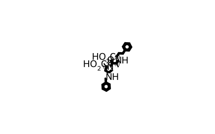 C[C@H](N[C@@H](CCc1ccccc1)C(=O)O)C(=O)N1CC(NCc2ccccc2)C[C@H]1C(=O)O